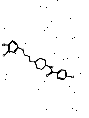 O=C(NC1CCN(CCCOc2ccc(Cl)c(Cl)c2)CC1)c1ccc(Cl)cc1